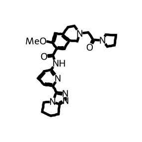 COc1cc2c(cc1C(=O)Nc1cccc(-c3nnc4n3CCCC4)n1)CN(CC(=O)N1CCCC1)CC2